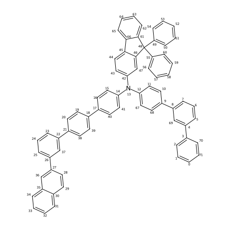 c1ccc(-c2cccc(-c3ccc(N(c4ccc(-c5ccc(-c6cccc(-c7ccc8ccccc8c7)c6)cc5)cc4)c4ccc5c(c4)C(c4ccccc4)(c4ccccc4)c4ccccc4-5)cc3)c2)cc1